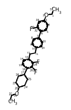 CCOc1ccc(-c2ccc(CCc3ccc(C4CCC(OCC)CC4)c(F)c3F)cc2)c(F)c1